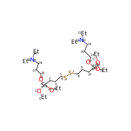 CCO[Si](CCCSSCCC[Si](OCC)(OCC)OCCCN(CC)CC)(OCC)OCCCN(CC)CC